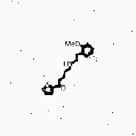 COc1ccccc1CCNCCCCC(=O)c1cccs1